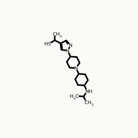 CC(C)NC1CCC(N2CCC(n3cc(C(C)S)cn3)CC2)CC1